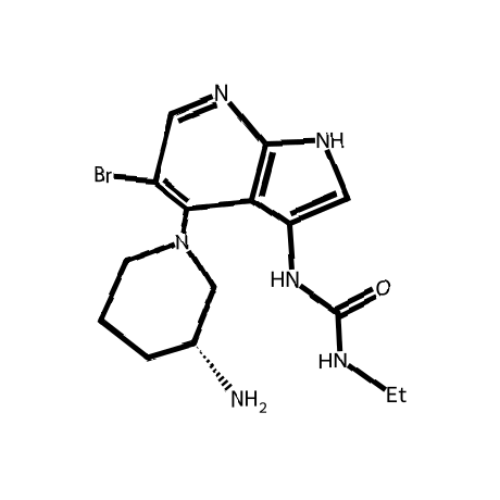 CCNC(=O)Nc1c[nH]c2ncc(Br)c(N3CCC[C@@H](N)C3)c12